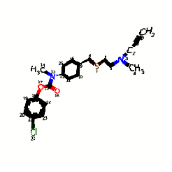 C=CCN(C)CCSC[C@H]1CC[C@H](N(C)C(=O)Oc2ccc(Cl)cc2)CC1